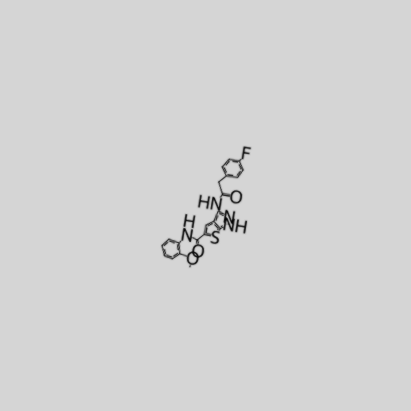 COc1ccccc1NC(=O)c1cc2c(NC(=O)Cc3ccc(F)cc3)n[nH]c2s1